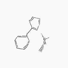 C#C[SiH](C)C.c1ccc(-c2ccccc2)cc1